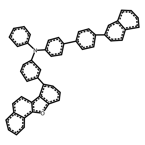 c1ccc(N(c2ccc(-c3ccc(-c4ccc5ccccc5c4)cc3)cc2)c2cccc(-c3cccc4oc5c6ccccc6ccc5c34)c2)cc1